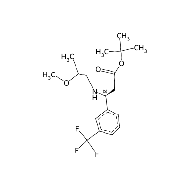 COC(C)CN[C@@H](CC(=O)OC(C)(C)C)c1cccc(C(F)(F)F)c1